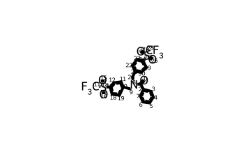 O=C(c1ccccc1)N(Cc1ccc(S(=O)(=O)C(F)(F)F)cc1)Cc1ccc(S(=O)(=O)C(F)(F)F)cc1